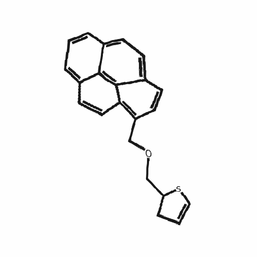 C1=CSC(COCc2ccc3ccc4cccc5ccc2c3c45)C1